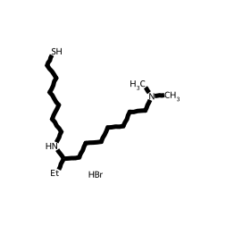 Br.CCC(CCCCCCCN(C)C)NCCCCCCS